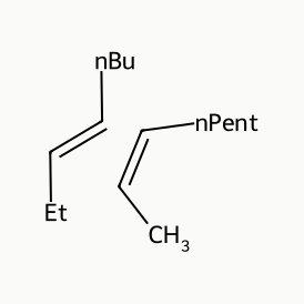 C/C=C\CCCCC.CC/C=C/CCCC